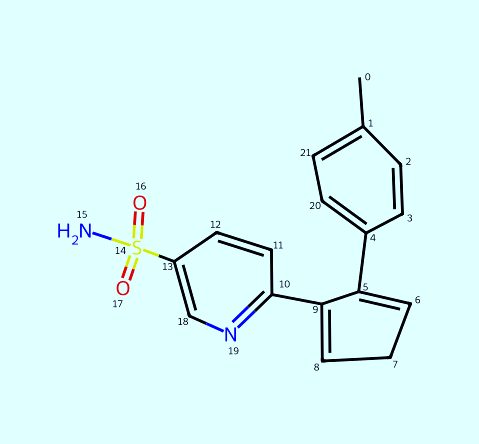 Cc1ccc(C2=CCC=C2c2ccc(S(N)(=O)=O)cn2)cc1